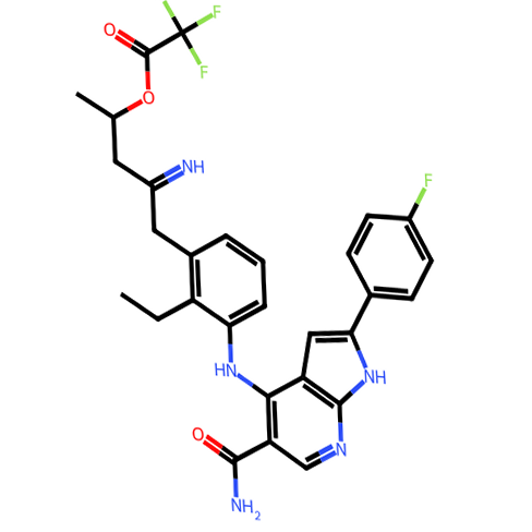 CCc1c(CC(=N)CC(C)OC(=O)C(F)(F)F)cccc1Nc1c(C(N)=O)cnc2[nH]c(-c3ccc(F)cc3)cc12